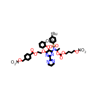 COc1ccccc1Oc1c(OCCOC(=O)c2ccc(CO[N+](=O)[O-])cc2)nc(-c2ncccn2)nc1N(C(C)OC(=O)OCCCCO[N+](=O)[O-])S(=O)(=O)c1ccc(C(C)(C)C)cc1